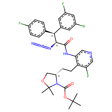 CC(C)(C)OC(=O)N1[C@@H](CCc2c(F)cncc2NC(=O)[C@@H](N=[N+]=[N-])[C@@H](c2ccc(F)cc2)c2cc(F)cc(F)c2)COC1(C)C